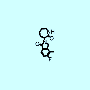 Cc1c(F)ccc2c1CN(C1CCCCNC1=O)C2=O